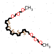 CCOCCOCCOCCc1ccc(-c2ccc(-c3ccc(-c4ccc(-c5ccc(CCOCCOCCOCC)s5)s4)s3)s2)s1